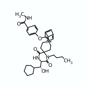 CCCCN1C(=O)[C@@H]([C@H](O)C2CCCCC2)NC(=O)C12CCN(C1C3=CN=C(Oc4ccc(C(=O)NC)cc4)C1=C3)CC2